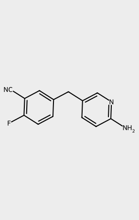 N#Cc1cc(Cc2ccc(N)nc2)ccc1F